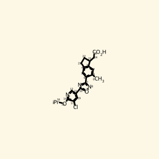 Cc1cc2c(cc1-c1noc(-c3cnc(OC(C)C)c(Cl)c3)n1)CCC2CC(=O)O